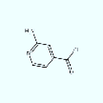 Nc1cc(C(=O)Cl)ccn1